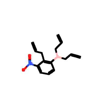 C=CCB(CC=C)c1cccc([N+](=O)[O-])c1CC=C